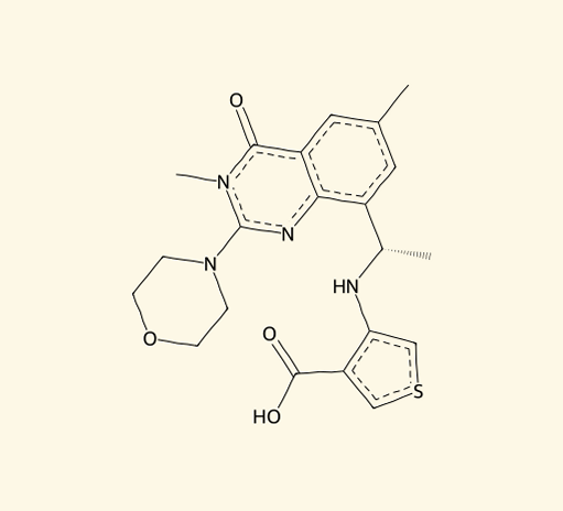 Cc1cc([C@H](C)Nc2cscc2C(=O)O)c2nc(N3CCOCC3)n(C)c(=O)c2c1